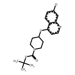 CC(C)(C)OC(=O)N1CCC(Oc2ccnc3cc(Cl)ccc23)CC1